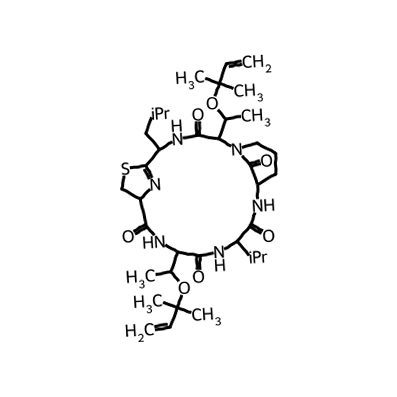 C=CC(C)(C)OC(C)C1NC(=O)C2CSC(=N2)C(CC(C)C)NC(=O)C(C(C)OC(C)(C)C=C)N2CCCC(NC(=O)C(C(C)C)NC1=O)C2=O